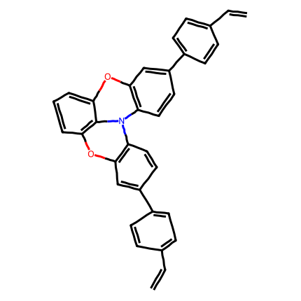 C=Cc1ccc(-c2ccc3c(c2)Oc2cccc4c2N3c2ccc(-c3ccc(C=C)cc3)cc2O4)cc1